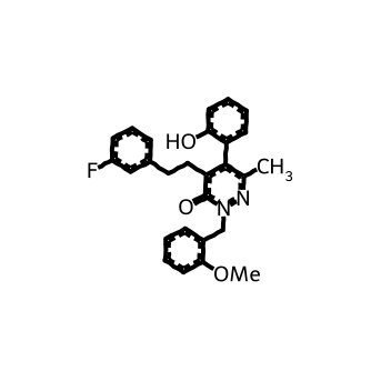 COc1ccccc1Cn1nc(C)c(-c2ccccc2O)c(CCc2cccc(F)c2)c1=O